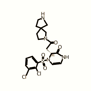 O=C1NC=CN(S(=O)(=O)c2cccc(Cl)c2Cl)[C@@H]1CC(=O)N1CCC2(CCNC2)C1